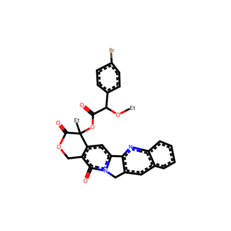 CCOC(C(=O)OC1(CC)C(=O)OCc2c1cc1n(c2=O)Cc2cc3ccccc3nc2-1)c1ccc(Br)cc1